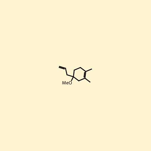 C=CCC1(OC)CCC(C)=C(C)C1